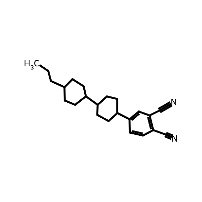 CCCC1CCC(C2CCC(c3ccc(C#N)c(C#N)c3)CC2)CC1